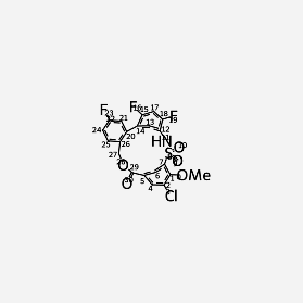 COc1c(Cl)cc2cc1S(=O)(=O)Nc1cc(c(F)cc1F)-c1cc(F)ccc1COC2=O